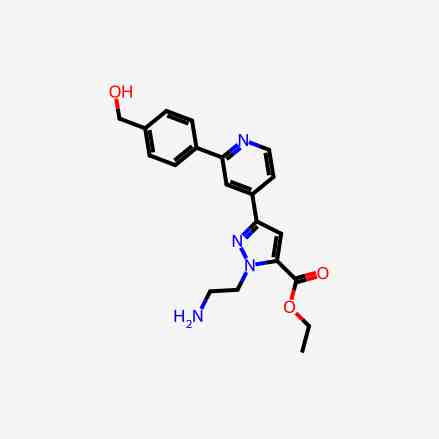 CCOC(=O)c1cc(-c2ccnc(-c3ccc(CO)cc3)c2)nn1CCN